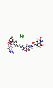 F.F.NC1CCC(N(C(=O)O)c2cc(CCCCn3c(=O)oc4cc(CNC[C@H](O)c5ccc(O)c6[nH]c(=O)ccc56)ccc43)ccc2-c2ccccc2)CC1